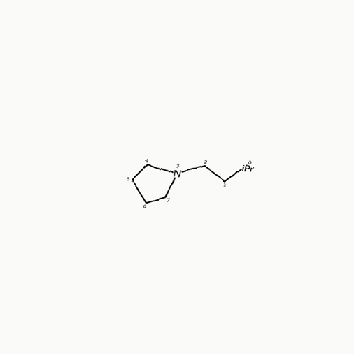 CC(C)CCN1C[CH]CC1